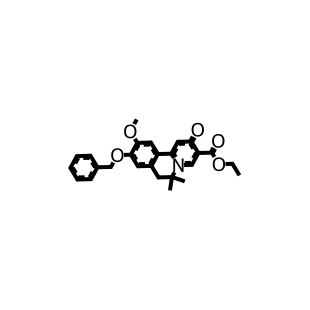 CCOC(=O)c1cn2c(cc1=O)-c1cc(OC)c(OCc3ccccc3)cc1CC2(C)C